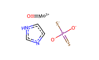 [O-]P([O-])(=S)[S-].[O]=[Mo+3].c1c[nH]cn1